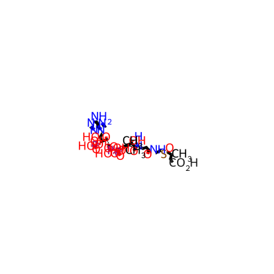 CC(CC(=O)O)C(=O)SCCNC(=O)CCNC(=O)[C@H](O)C(C)(C)COP(=O)(O)OP(=O)(O)OC[C@H]1O[C@@H](n2cnc3c(N)ncnc32)[C@H](O)[C@@H]1OP(=O)(O)O